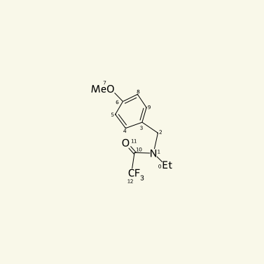 CCN(Cc1ccc(OC)cc1)C(=O)C(F)(F)F